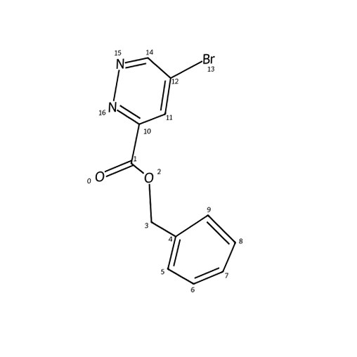 O=C(OCc1ccccc1)c1cc(Br)cnn1